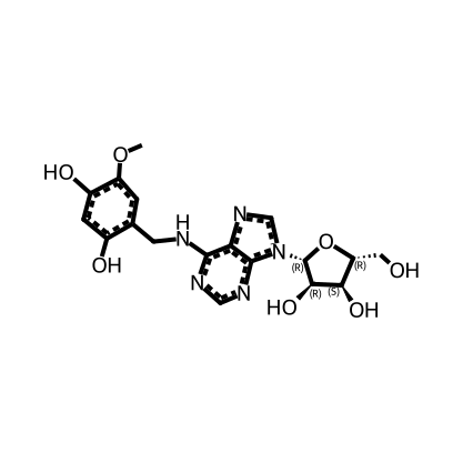 COc1cc(CNc2ncnc3c2ncn3[C@@H]2O[C@H](CO)[C@@H](O)[C@H]2O)c(O)cc1O